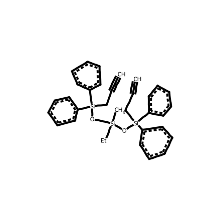 C#CC[Si](O[Si](C)(CC)O[Si](CC#C)(c1ccccc1)c1ccccc1)(c1ccccc1)c1ccccc1